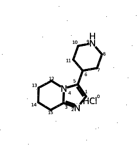 Cl.c1nc2n(c1C1CCNCC1)CCCC2